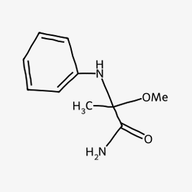 COC(C)(Nc1ccccc1)C(N)=O